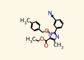 CCOC(=O)c1c(C)nc(-c2cccc(C#N)c2)n1OCc1ccc(C)cc1